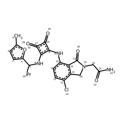 Cc1ccc(C(Nc2c(Nc3ccc(Cl)c4c3C(=O)N(CC(N)=O)C4)c(=O)c2=O)C(C)C)o1